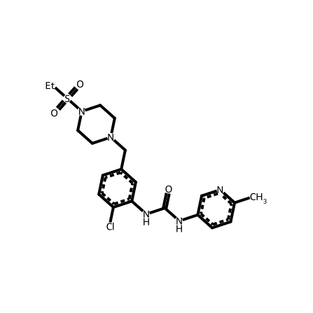 CCS(=O)(=O)N1CCN(Cc2ccc(Cl)c(NC(=O)Nc3ccc(C)nc3)c2)CC1